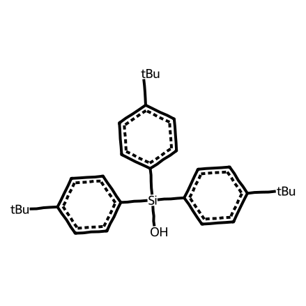 CC(C)(C)c1ccc([Si](O)(c2ccc(C(C)(C)C)cc2)c2ccc(C(C)(C)C)cc2)cc1